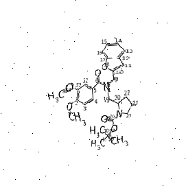 COc1ccc(C(=O)N(Cc2cc3ccccc3o2)CC2CCCN2C(=O)OC(C)(C)C)cc1OC